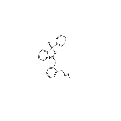 NCc1ccccc1CNOP(=O)(c1ccccc1)c1ccccc1